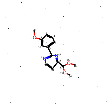 COc1cccc(-c2nccc(C(OC)OC)n2)c1